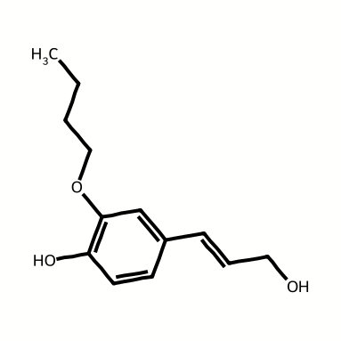 CCCCOc1cc(/C=C/CO)ccc1O